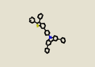 c1ccc(-c2ccc3c(c2)c2cc(-c4ccccc4)ccc2n3-c2ccc(-c3ccc4c(-c5ccccc5)c(-c5ccccc5)sc4c3)cc2)cc1